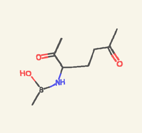 CB(O)NC(CCC(C)=O)C(C)=O